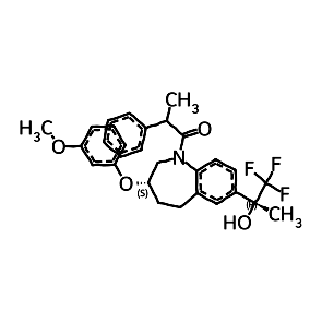 COc1cccc(O[C@H]2CCc3cc([C@@](C)(O)C(F)(F)F)ccc3N(C(=O)C(C)c3ccccc3)C2)c1